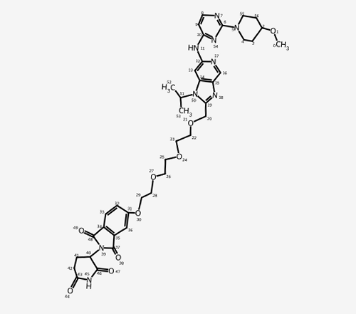 COC1CCN(c2nccc(Nc3cc4c(cn3)nc(COCCOCCOCCOc3ccc5c(c3)C(=O)N(C3CCC(=O)NC3=O)C5=O)n4C(C)C)n2)CC1